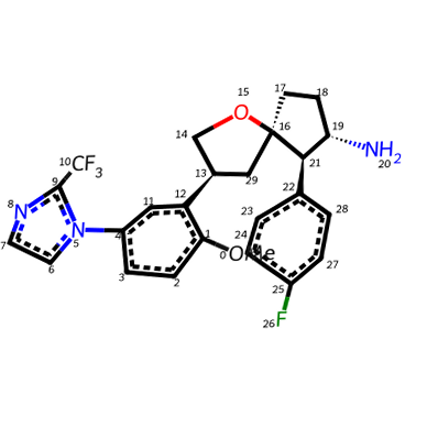 COc1ccc(-n2ccnc2C(F)(F)F)cc1[C@H]1CO[C@]2(CC[C@H](N)[C@H]2c2ccc(F)cc2)C1